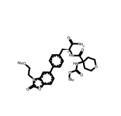 COCCn1c(=O)oc2ccc(-c3ccc(C[C@H](NC(=O)C4(NC(=O)OC(C)(C)C)CCOCC4)C(N)=O)cc3)cc21